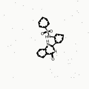 O=c1nc(-c2ccccc2NS(=O)(=O)c2ccccc2)[nH]c2ccccc12